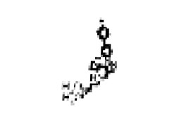 CCN(CC)CCCNCc1cnn(-c2ccc(-c3ccc(F)cc3)cc2)c1-c1ccco1